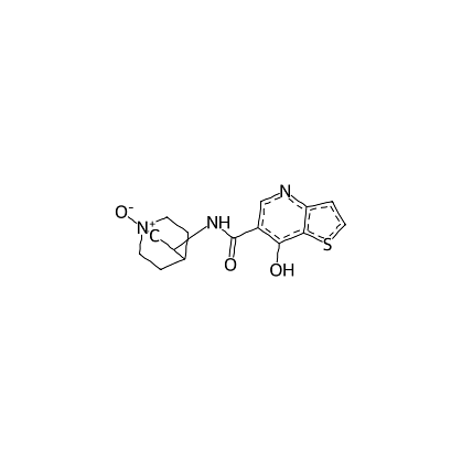 O=C(NC1C[N+]2([O-])CCC1CC2)c1cnc2ccsc2c1O